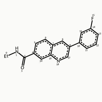 CCNC(=O)c1ccc2cc(-c3cccc(F)c3)cnc2c1